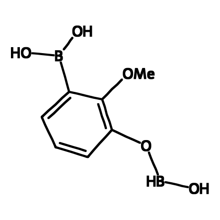 COc1c(OBO)cccc1B(O)O